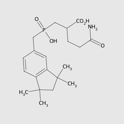 CC1(C)CC(C)(C)c2cc(CP(=O)(O)CC(CCC(N)=O)C(=O)O)ccc21